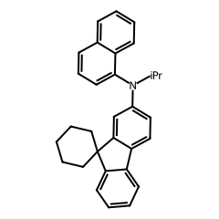 CC(C)N(c1ccc2c(c1)C1(CCCCC1)c1ccccc1-2)c1cccc2ccccc12